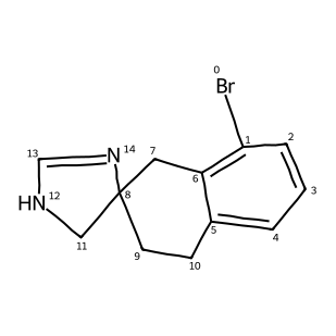 Brc1cccc2c1CC1(CC2)CNC=N1